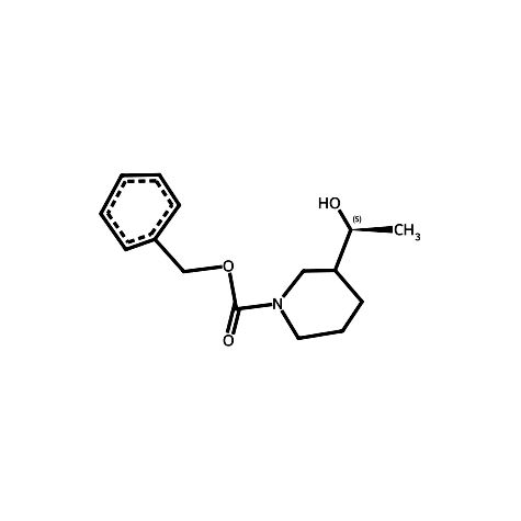 C[C@H](O)C1CCCN(C(=O)OCc2ccccc2)C1